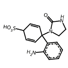 Nc1ccccc1C1(N2CCNC2=O)C=CC(S(=O)(=O)O)C=C1